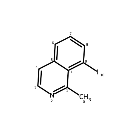 Cc1nccc2cccc(I)c12